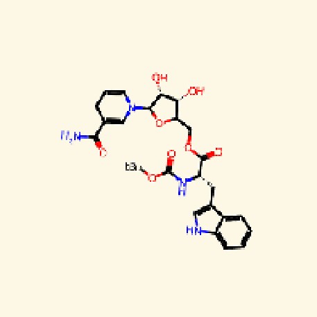 CC(C)(C)OC(=O)N[C@@H](Cc1c[nH]c2ccccc12)C(=O)OCC1O[C@@H](N2C=CCC(C(N)=O)=C2)[C@H](O)[C@@H]1O